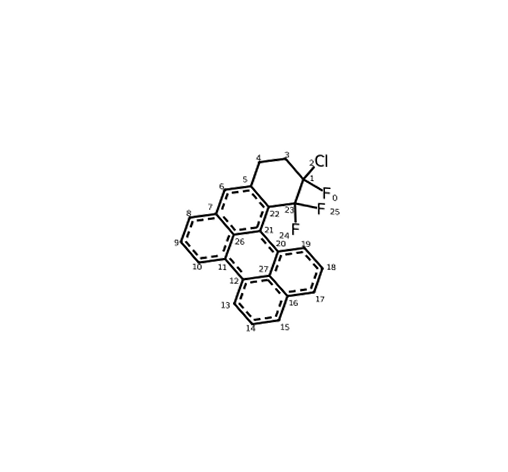 FC1(Cl)CCc2cc3cccc4c5cccc6cccc(c(c2C1(F)F)c34)c65